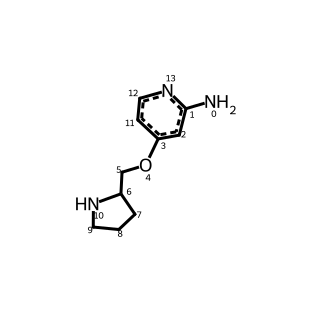 Nc1cc(OCC2CCCN2)ccn1